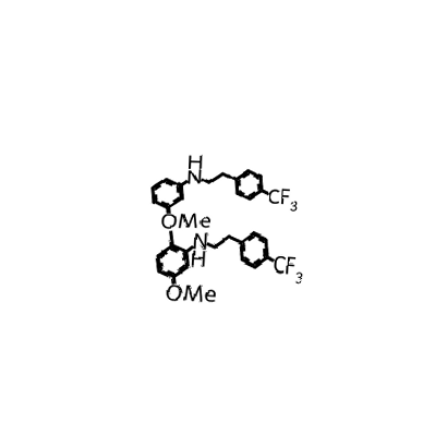 COc1ccc(C)c(NCCc2ccc(C(F)(F)F)cc2)c1.COc1cccc(NCCc2ccc(C(F)(F)F)cc2)c1